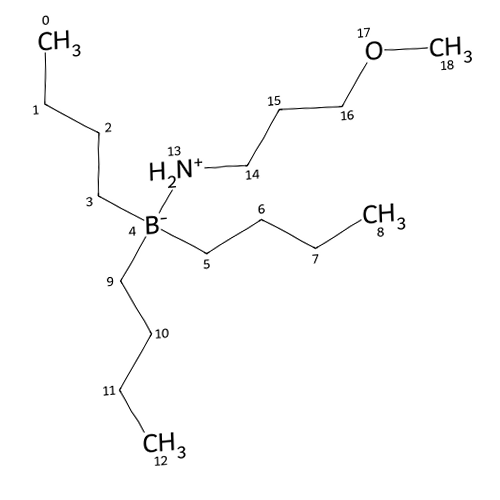 CCCC[B-](CCCC)(CCCC)[NH2+]CCCOC